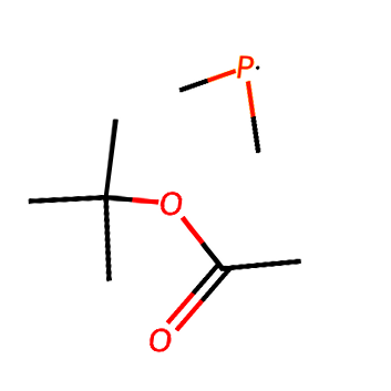 CC(=O)OC(C)(C)C.C[P]C